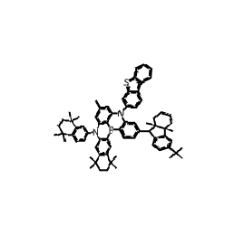 Cc1cc2c3c(c1)N(c1ccc4c(c1)C(C)(C)CCC4(C)C)c1cc4c(cc1B3c1ccc(C3c5ccc(C(C)(C)C)cc5C5(C)CCCCC35C)cc1N2c1ccc2c(c1)sc1ccccc12)C(C)(C)CCC4(C)C